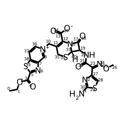 CCOC(=O)c1nc2c[n+](CC3=C(C(=O)[O-])N4C(=O)C(NC(=O)C(=NOC)c5csc(N)n5)[C@@H]4SC3)ccc2s1